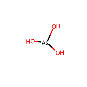 O[As](O)O